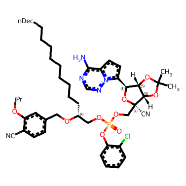 CCCCCCCCCCCCCCCCCCC[C@H](COP(=O)(OC[C@@]1(C#N)O[C@@H](c2ccc3c(N)ncnn23)[C@@H]2OC(C)(C)O[C@@H]21)Oc1ccccc1Cl)OCc1ccc(C#N)c(OC(C)C)c1